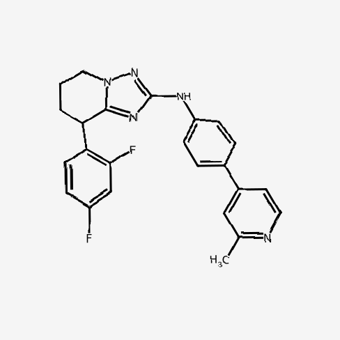 Cc1cc(-c2ccc(Nc3nc4n(n3)CCCC4c3ccc(F)cc3F)cc2)ccn1